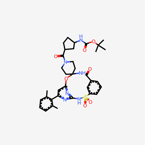 Cc1cccc(C)c1-c1cc2nc(n1)NS(=O)(=O)c1cccc(c1)C(=O)NC1(CCN(C(=O)C3CCC(NC(=O)OC(C)(C)C)C3)CC1)O2